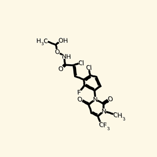 CC(O)ONC(=O)C(Cl)=Cc1c(Cl)ccc(-n2c(=O)cc(C(F)(F)F)n(C)c2=O)c1F